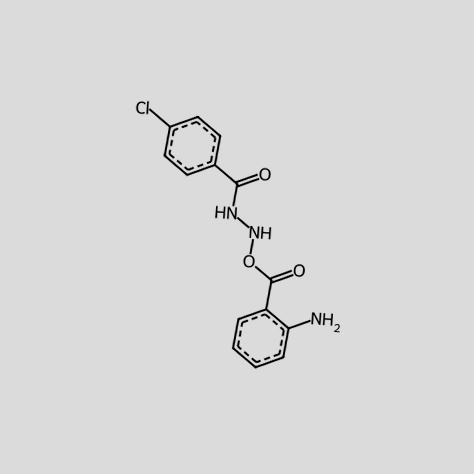 Nc1ccccc1C(=O)ONNC(=O)c1ccc(Cl)cc1